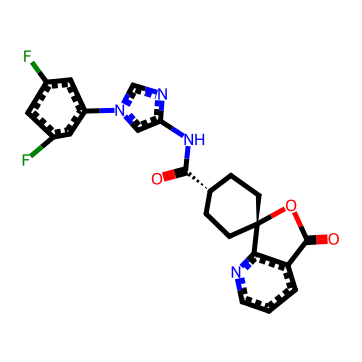 O=C1O[C@]2(CC[C@@H](C(=O)Nc3cn(-c4cc(F)cc(F)c4)cn3)CC2)c2ncccc21